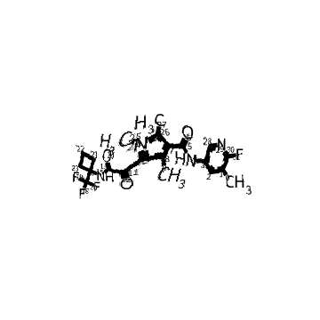 Cc1cc(NC(=O)c2c(C)c(C(=O)C(=O)NC3(C(F)(F)F)CCC3)n(C)c2C)cnc1F